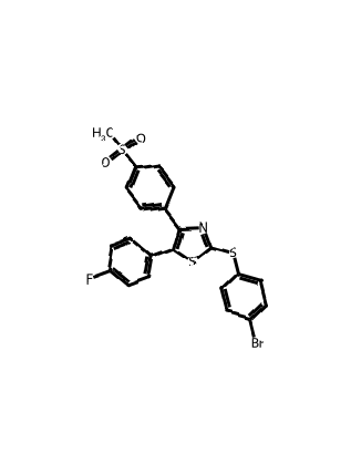 CS(=O)(=O)c1ccc(-c2nc(Sc3ccc(Br)cc3)sc2-c2ccc(F)cc2)cc1